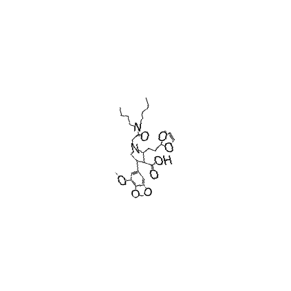 CCCCN(CCCC)C(=O)CN1CC(c2cc(OC)c3c(c2)OCO3)C(C(=O)O)C1CCC1OC=CO1